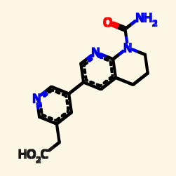 NC(=O)N1CCCc2cc(-c3cncc(CC(=O)O)c3)cnc21